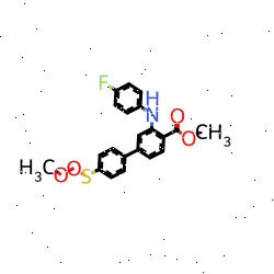 COOSc1ccc(-c2ccc(C(=O)OC)c(Nc3ccc(F)cc3)c2)cc1